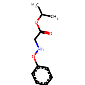 CC(C)OC(=O)CNOc1ccccc1